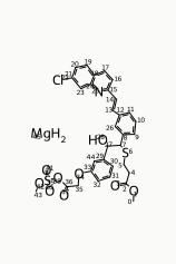 COC(=O)CCSC(c1cccc(C=Cc2ccc3ccc(Cl)cc3n2)c1)C(O)c1cccc(OCC(=O)OS(=O)(=O)OC)c1.[MgH2]